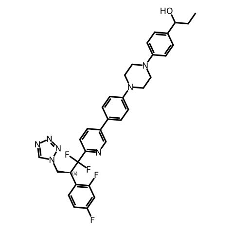 CCC(O)c1ccc(N2CCN(c3ccc(-c4ccc(C(F)(F)[C@H](Cn5cnnn5)c5ccc(F)cc5F)nc4)cc3)CC2)cc1